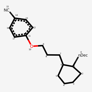 CCCCCCCCCCC1CCCCC1CCCOc1ccc(C#N)cc1